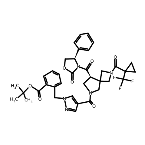 CC(C)(C)OC(=O)c1ccccc1Cn1cc(C(=O)N2C[C@@H](C(=O)N3C(=O)OC[C@H]3c3ccccc3)C3(C2)CN(C(=O)C2(C(F)(F)F)CC2)C3)cn1